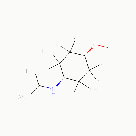 CSC(C)N[C@H]1C(C)(C)C(C)(C)[C@@H](OC(C)(C)C)C(C)(C)C1(C)C